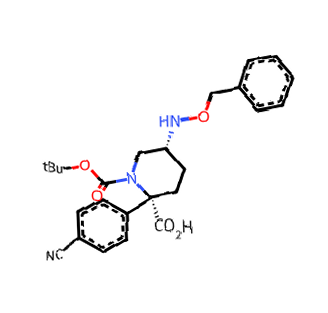 CC(C)(C)OC(=O)N1C[C@H](NOCc2ccccc2)CC[C@@]1(C(=O)O)c1ccc(C#N)cc1